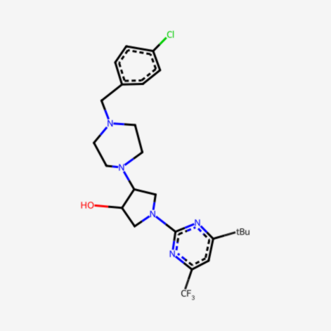 CC(C)(C)c1cc(C(F)(F)F)nc(N2CC(O)C(N3CCN(Cc4ccc(Cl)cc4)CC3)C2)n1